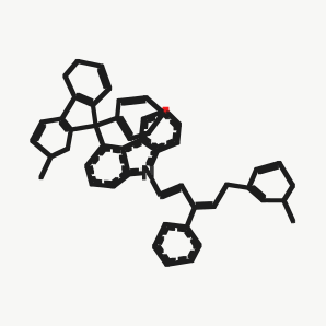 CC1C=C(C/C=C(\C=C\n2c3ccccc3c3c(C4(C5=CCCC=C5)C5=C(CCC=C5)C5=C4CC(C)C=C5)cccc32)c2ccccc2)C=CC1